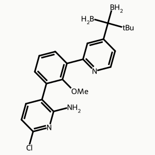 BC(B)(c1ccnc(-c2cccc(-c3ccc(Cl)nc3N)c2OC)c1)C(C)(C)C